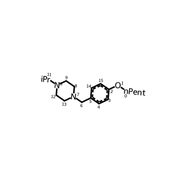 CCCCCOc1ccc(CN2CCN(C(C)C)CC2)cc1